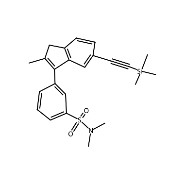 CC1=C(c2cccc(S(=O)(=O)N(C)C)c2)c2cc(C#C[Si](C)(C)C)ccc2C1